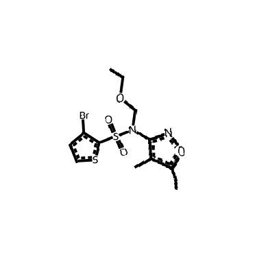 CCOCN(c1noc(C)c1C)S(=O)(=O)c1sccc1Br